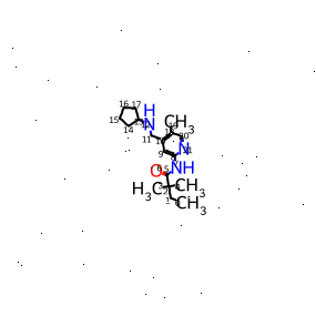 CCC(C)(C)C(=O)Nc1cc(CNC2CCCC2)c(C)cn1